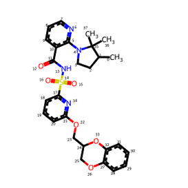 CC1CCN(c2ncccc2C(=O)NS(=O)(=O)c2cccc(OCC3COc4ccccc4O3)n2)C1(C)C